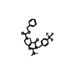 CN(C)c1nc2c(c(=O)n1Cc1ccc(C(F)(F)F)cc1)CN(C(=O)OCc1ccccc1)CC2